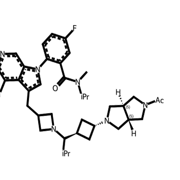 CC(=O)N1C[C@@H]2CN([C@H]3C[C@H](C(C(C)C)N4CC(Cc5cn(-c6ccc(F)cc6C(=O)N(C)C(C)C)c6cncc(Cl)c56)C4)C3)C[C@H]2C1